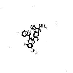 Nc1nc2cc(F)c(C(=O)N(Cc3ccc(C(F)(F)F)cc3F)c3cnn4ccccc34)cc2n2cncc12